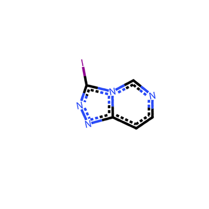 Ic1nnc2ccncn12